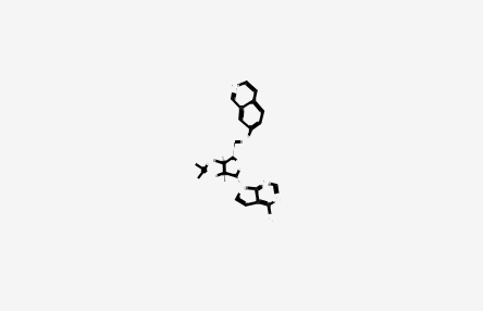 CC1(C)O[C@@H]2[C@H](O1)[C@@H](COc1ccc3ccncc3c1)O[C@H]2n1ccc2c(N)ncnc21